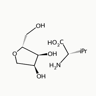 CC(C)[C@H](N)C(=O)O.OC[C@H]1OC[C@H](O)[C@@H]1O